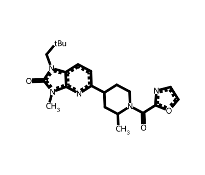 CC1CC(c2ccc3c(n2)n(C)c(=O)n3CC(C)(C)C)CCN1C(=O)c1ncco1